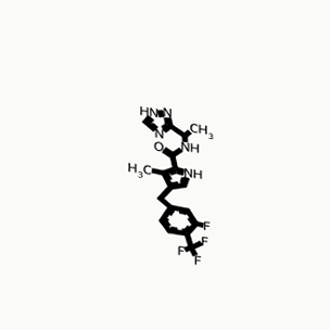 Cc1c(Cc2ccc(C(F)(F)F)c(F)c2)c[nH]c1C(=O)NC(C)c1nc[nH]n1